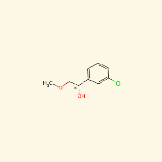 COC[C@@H](O)c1cccc(Cl)c1